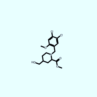 COC(=O)C1CC(CO)CCN1Cc1cc(Cl)c(Cl)cc1OC